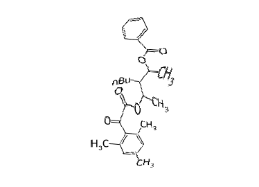 CCCCC(C(C)OC(=O)C(=O)c1c(C)cc(C)cc1C)C(C)OC(=O)c1ccccc1